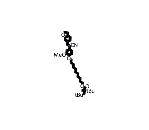 COc1cc(/C(C#N)=C/c2ccc3c(c2)OCC3)ccc1OCCCCCCCCCCCOC(=O)C(C)(CC(C)(C)C)C(C)(C)C